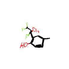 Cc1ccc(O)c(C(O)(F)C(F)F)c1